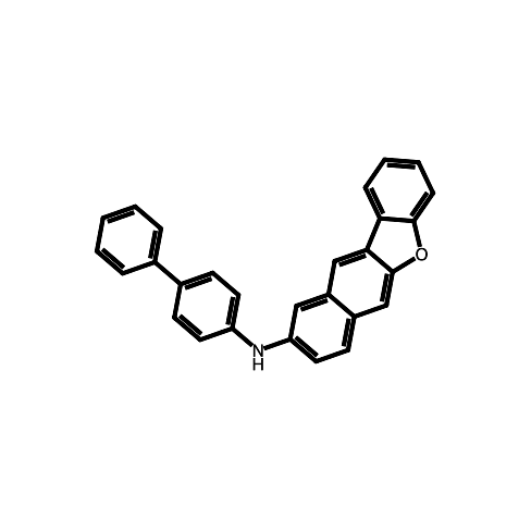 c1ccc(-c2ccc(Nc3ccc4cc5oc6ccccc6c5cc4c3)cc2)cc1